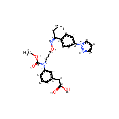 CCC(=NOCCN(C(=O)OC)c1cccc(CC(=O)O)c1)c1ccc(-n2cccn2)cc1